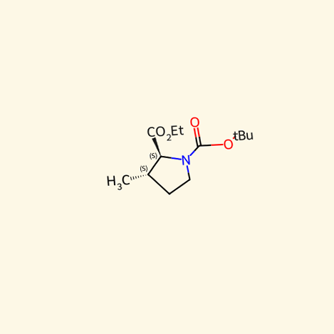 CCOC(=O)[C@@H]1[C@@H](C)CCN1C(=O)OC(C)(C)C